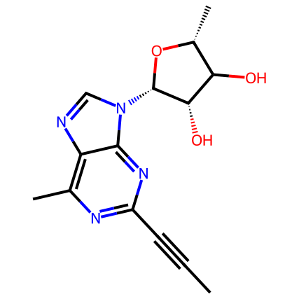 CC#Cc1nc(C)c2ncn([C@@H]3O[C@H](C)C(O)[C@@H]3O)c2n1